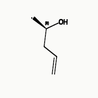 [CH2][C@@H](O)CC=C